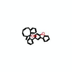 C=C1/C=C\C=C/Cc2ccccc2C1(O)c1ccccc1-c1ccc2oc3ccccc3c2c1